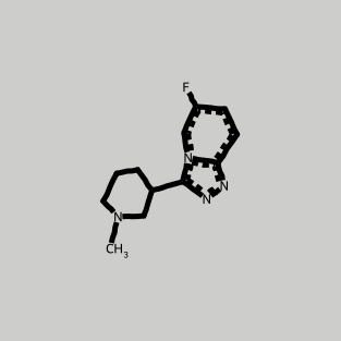 CN1CCCC(c2nnc3ccc(F)cn23)C1